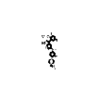 COc1c(F)cc(F)cc1-c1c[nH]c2ncc(Nc3ccc(N4CCN(C)CC4)c(F)c3)cc12